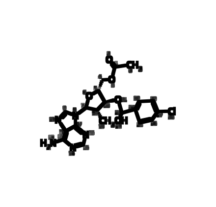 CC(=O)OC[C@H]1OC(n2cnc3c(N)ncnc32)[C@@H](C)[C@@H]1OC(O)c1ccc(Cl)cc1